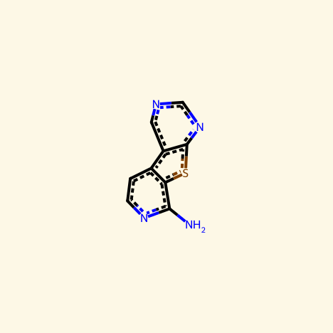 Nc1nccc2c1sc1ncncc12